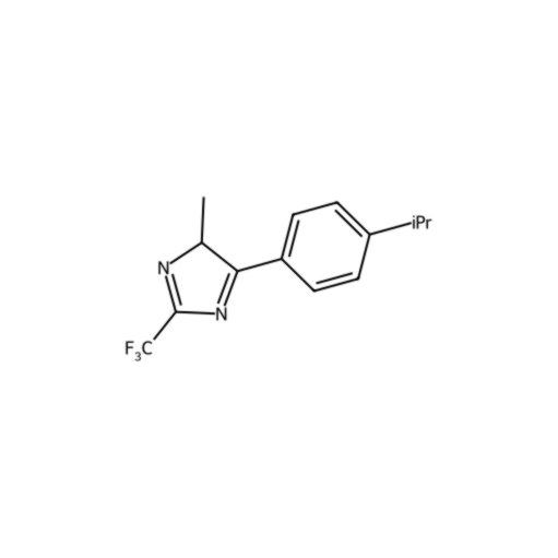 CC1N=C(C(F)(F)F)N=C1c1ccc(C(C)C)cc1